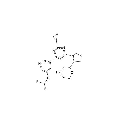 FC(F)Oc1cncc(-c2cc(N3CCCC3C3CNCCO3)nc(C3CC3)n2)c1